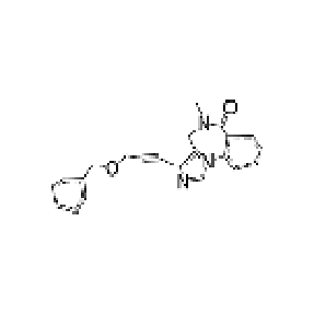 CN1Cc2c(C#CCOCc3ccccc3)ncn2-c2ccccc2C1=O